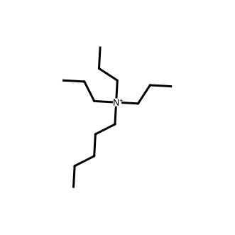 CCCCC[N+](CCC)(CCC)CCC